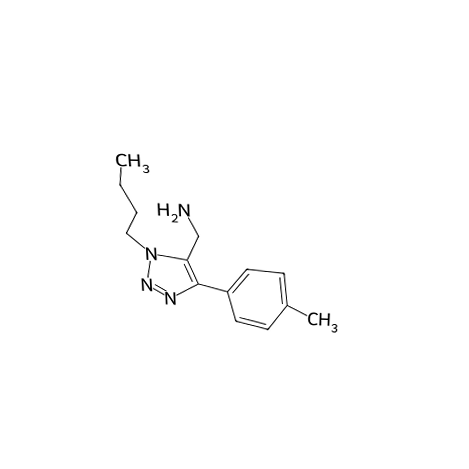 CCCCn1nnc(-c2ccc(C)cc2)c1CN